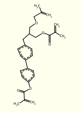 C=C(C)COCC(COC(=O)C(=C)C)Cc1ccc(-c2ccc(OC(=O)C(=C)C)cc2)cc1